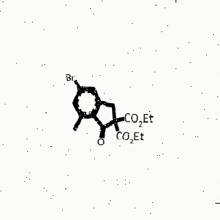 CCOC(=O)C1(C(=O)OCC)Cc2cc(Br)cc(C)c2C1=O